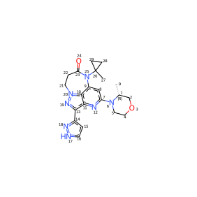 C[C@@H]1COCCN1c1cc2c3c(n1)c(-c1cc[nH]n1)nn3CCC(=O)N2C1(C)CC1